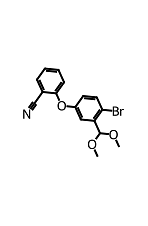 COC(OC)c1cc(Oc2ccccc2C#N)ccc1Br